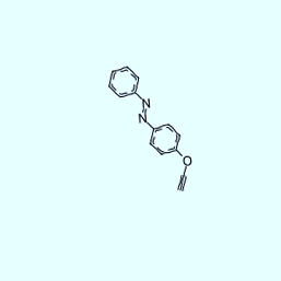 C#COc1ccc(N=Nc2ccccc2)cc1